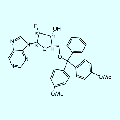 COc1ccc(C(OC[C@H]2O[C@@H](n3cnc4cncnc43)[C@H](F)[C@@H]2O)(c2ccccc2)c2ccc(OC)cc2)cc1